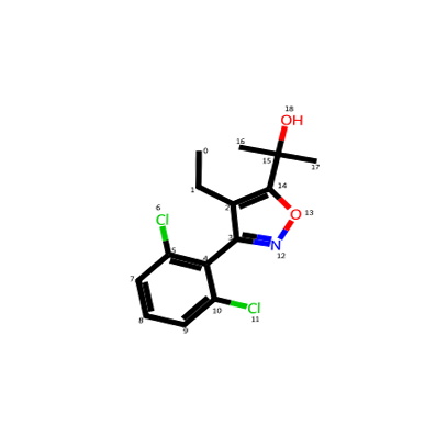 CCc1c(-c2c(Cl)cccc2Cl)noc1C(C)(C)O